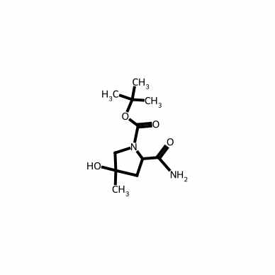 CC1(O)CC(C(N)=O)N(C(=O)OC(C)(C)C)C1